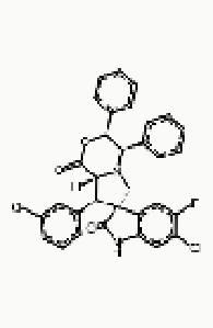 O=C1O[C@@H](c2ccccc2)[C@@H](c2ccccc2)N2C[C@]3(C(=O)Nc4cc(Cl)c(F)cc43)[C@@H](c3cccc(Cl)c3)[C@H]12